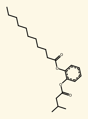 CCCCCCCCCCC(=O)Oc1ccccc1OC(=O)CC(C)C